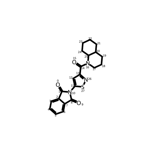 O=C1c2ccccc2C(=O)N1c1cc(C(=O)N2CCCC3CCCCC32)ns1